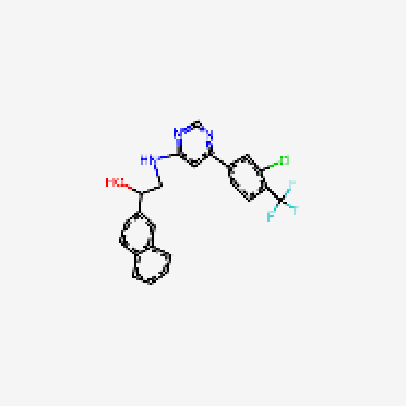 OC(CNc1cc(-c2ccc(C(F)(F)F)c(Cl)c2)ncn1)c1ccc2ccccc2c1